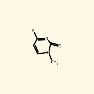 Cn1ccc(F)nc1=O